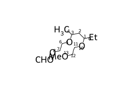 CCC(CC(C)OCCOC=O)OCCOC